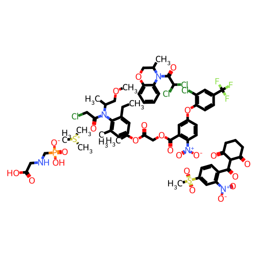 CC1COc2ccccc2N1C(=O)C(Cl)Cl.CCOC(=O)COC(=O)c1cc(Oc2ccc(C(F)(F)F)cc2Cl)ccc1[N+](=O)[O-].CCc1cccc(C)c1N(C(=O)CCl)C(C)COC.CS(=O)(=O)c1ccc(C(=O)C2C(=O)CCCC2=O)c([N+](=O)[O-])c1.C[S+](C)C.O=C(O)CNCP(=O)([O-])O